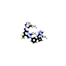 C=C1N2C=C(CN(CC)CCC)C=C(C(F)(F)F)C2=CN1c1cccc(C2(Cc3nncn3C)CCC2)c1